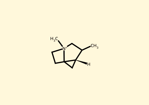 CC1C[N+]2(C)CCC23C[C@@H]13